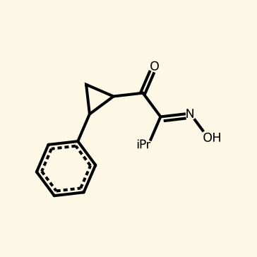 CC(C)/C(=N\O)C(=O)C1CC1c1ccccc1